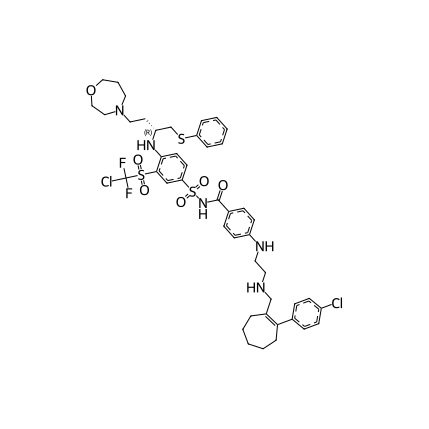 O=C(NS(=O)(=O)c1ccc(N[C@H](CCN2CCCOCC2)CSc2ccccc2)c(S(=O)(=O)C(F)(F)Cl)c1)c1ccc(NCCNCC2=C(c3ccc(Cl)cc3)CCCCC2)cc1